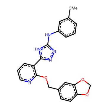 COc1cccc(Nc2nnc(-c3cccnc3OCc3ccc4c(c3)OCO4)[nH]2)c1